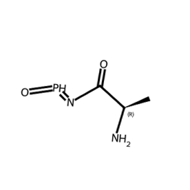 C[C@@H](N)C(=O)N=[PH]=O